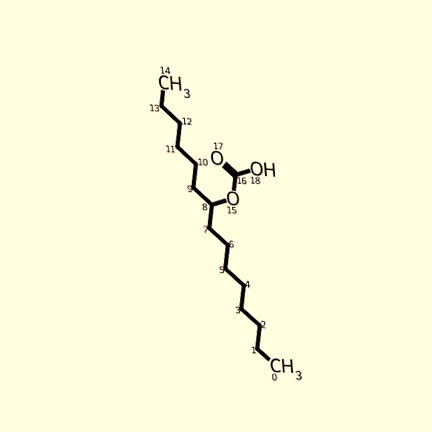 CCCCCCCCC(CCCCCC)OC(=O)O